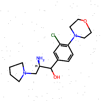 N[C@H](CN1CCCC1)C(O)c1ccc(N2CCOCC2)c(Cl)c1